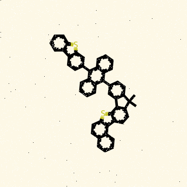 CC1(C)c2ccc(-c3c4ccccc4c(-c4ccc5c(c4)sc4ccccc45)c4ccccc34)cc2-c2c1ccc1c2sc2ccc3ccccc3c21